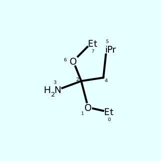 CCOC(N)(CC(C)C)OCC